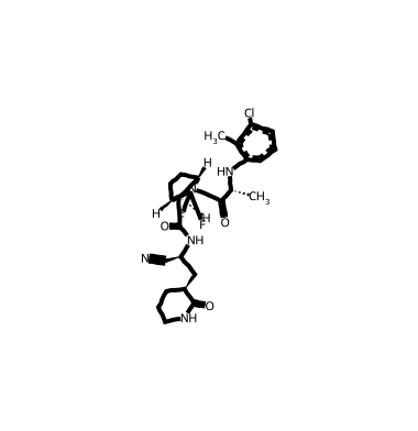 Cc1c(Cl)cccc1N[C@H](C)C(=O)N1[C@H]2CC[C@@H]([C@@H]1C(=O)N[C@H](C#N)C[C@@H]1CCCNC1=O)C(F)(F)C2